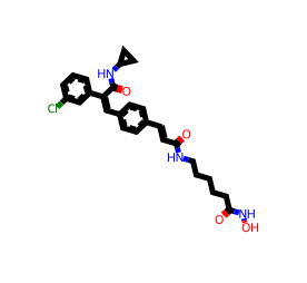 O=C(C=Cc1ccc(C=C(C(=O)NC2CC2)c2cccc(Cl)c2)cc1)NCCCCCC(=O)NO